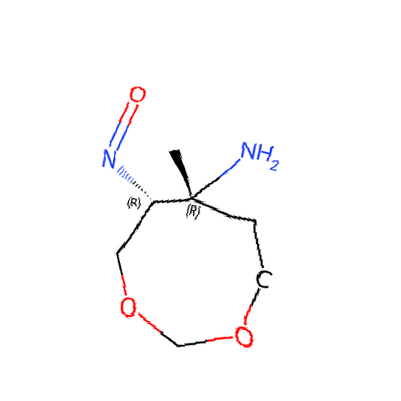 C[C@@]1(N)CCOCOC[C@@H]1N=O